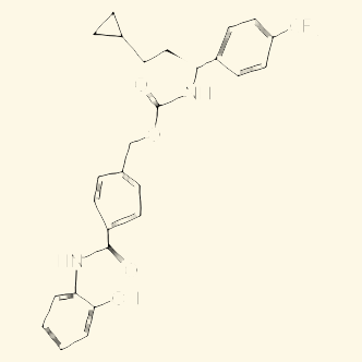 O=C(N[C@@H](CCC1CC1)c1ccc(C(F)(F)F)cc1)OCc1ccc(C(=O)Nc2ccccc2O)cc1